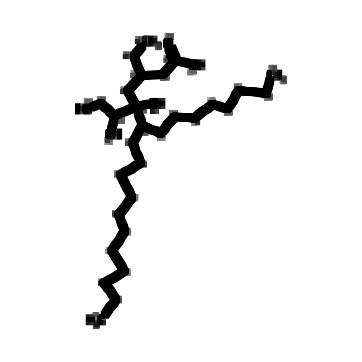 CCCCCCCCCCCC(CCCCCCCC)C(O)(CC(CC)CC(=O)O)C(O)CO